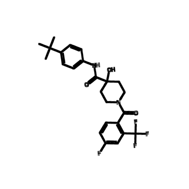 CC(C)(C)c1ccc(NC(=O)C2(O)CCN(C(=O)c3ccc(F)cc3C(F)(F)F)CC2)cc1